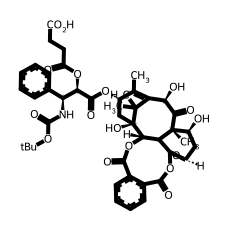 CC1=C2[C@@H](O)C(=O)[C@@]3(C)C4[C@H](OC(=O)c5ccccc5C(=O)O[C@]45CO[C@@H]5C[C@@H]3O)[C@](O)(C[C@@H]1OC(=O)[C@H](OC(=O)CCC(=O)O)[C@@H](NC(=O)OC(C)(C)C)c1ccccc1)C2(C)C